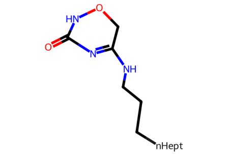 CCCCCCCCCCNC1=NC(=O)NOC1